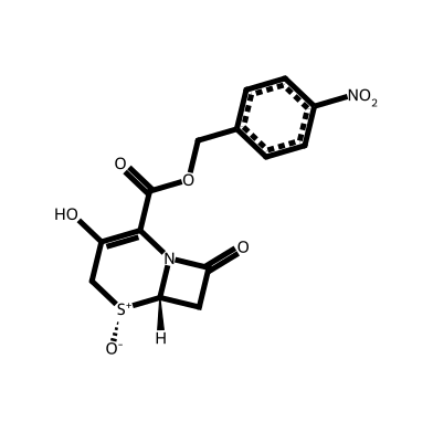 O=C(OCc1ccc([N+](=O)[O-])cc1)C1=C(O)C[S@@+]([O-])[C@H]2CC(=O)N12